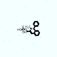 C[n+]1c(COP(=O)(O)O)cc2ccccc2c1-c1ccccc1